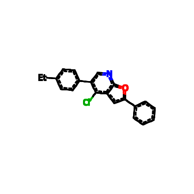 CCc1ccc(-c2cnc3oc(-c4ccccc4)cc3c2Cl)cc1